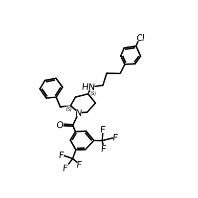 O=C(c1cc(C(F)(F)F)cc(C(F)(F)F)c1)N1CC[C@H](NCCCc2ccc(Cl)cc2)C[C@@H]1Cc1ccccc1